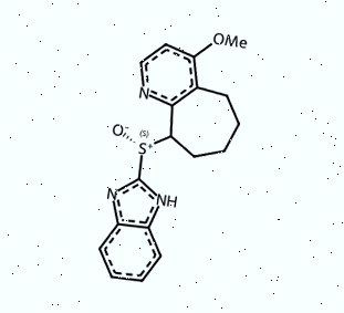 COc1ccnc2c1CCCCC2[S@@+]([O-])c1nc2ccccc2[nH]1